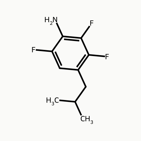 CC(C)Cc1cc(F)c(N)c(F)c1F